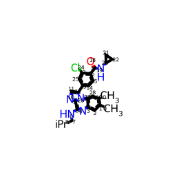 Cc1cc2nc(NCC(C)C)c3ncc(-c4ccc(C(=O)NC5CC5)c(Cl)c4)n3c2cc1C